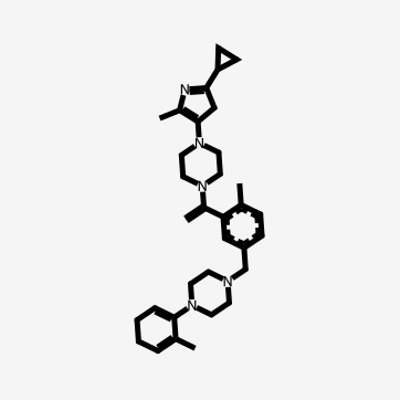 C=C(c1cc(CN2CCN(C3=CCCC=C3C)CC2)ccc1C)N1CCN(C2=C(C)N=C(C3CC3)C2)CC1